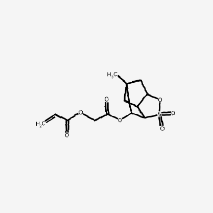 C=CC(=O)OCC(=O)OC1C2C3CC1(C)CC3OS2(=O)=O